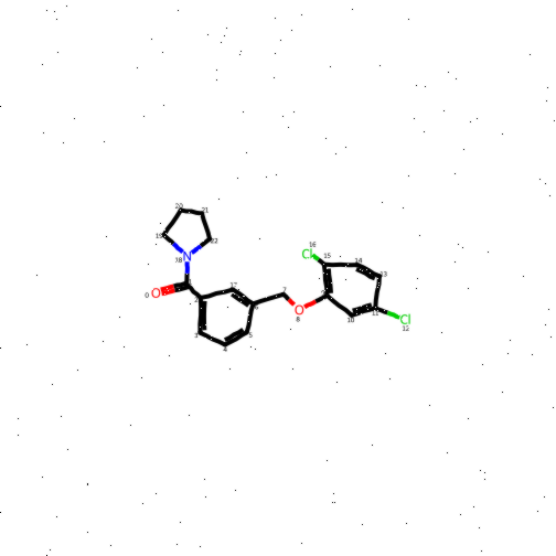 O=C(c1cccc(COc2cc(Cl)ccc2Cl)c1)N1CCCC1